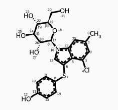 Cc1cc(Cl)c2c(Sc3ccc(O)cc3)cn([C@@H]3O[C@H](CO)[C@@H](O)[C@H](O)[C@H]3O)c2c1